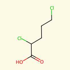 O=C(O)C(Cl)CCCCl